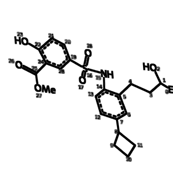 CCC(O)CCc1cc(C2CCC2)ccc1NS(=O)(=O)c1ccc(O)c(C(=O)OC)c1